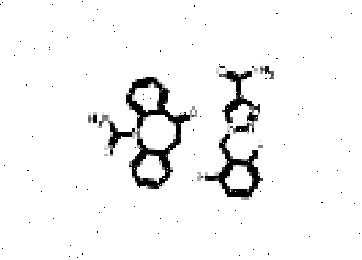 NC(=O)N1c2ccccc2CC(=O)c2ccccc21.NC(=O)c1cn(Cc2c(F)cccc2F)nn1